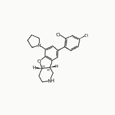 Clc1ccc(-c2cc3c(c(N4CCCC4)c2)O[C@H]2CCNC[C@@H]32)c(Cl)c1